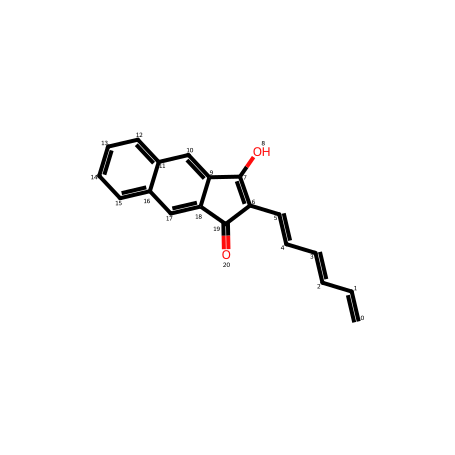 C=C/C=C/C=C/C1=C(O)c2cc3ccccc3cc2C1=O